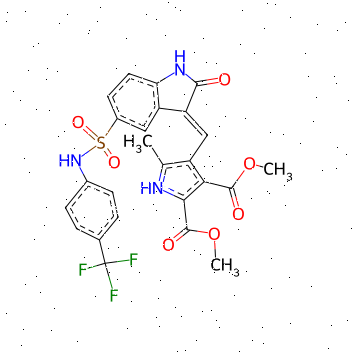 COC(=O)c1[nH]c(C)c(C=C2C(=O)Nc3ccc(S(=O)(=O)Nc4ccc(C(F)(F)F)cc4)cc32)c1C(=O)OC